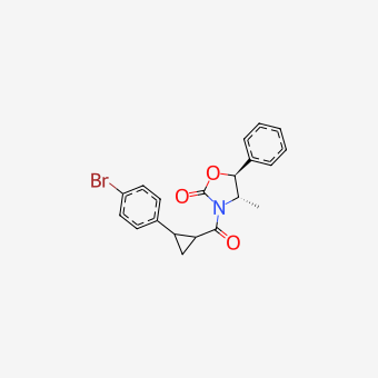 C[C@H]1[C@H](c2ccccc2)OC(=O)N1C(=O)C1CC1c1ccc(Br)cc1